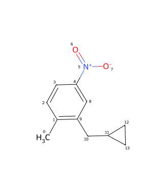 Cc1ccc([N+](=O)[O-])cc1CC1CC1